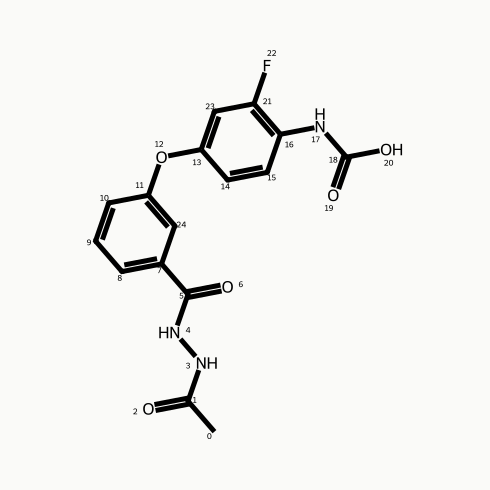 CC(=O)NNC(=O)c1cccc(Oc2ccc(NC(=O)O)c(F)c2)c1